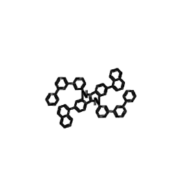 c1ccc(-c2cccc(-c3cccc(-n4c5cc(-c6cccc7ccccc67)ccc5c5c4c4ccc(-c6cccc7ccccc67)cc4n5-c4cccc(-c5cccc(-c6ccccc6)c5)c4)c3)c2)cc1